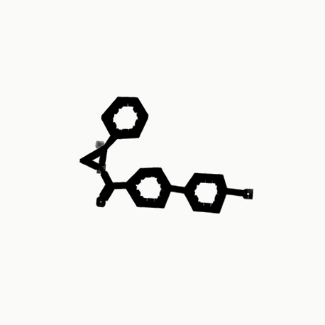 O=C(c1ccc(-c2ccc(Cl)cc2)cc1)N1C[C@H]1c1ccccc1